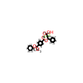 CC1(OC(=O)c2ccc(C(=O)OC(c3ccccc3)C(F)(F)C(=O)O)cc2)CCCCC1